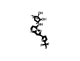 [CH2][C@@H]1C[C@@H](Nc2ccnc3cc(-c4ccc(C(F)(F)F)s4)nn23)[C@H](O)[C@@H]1O